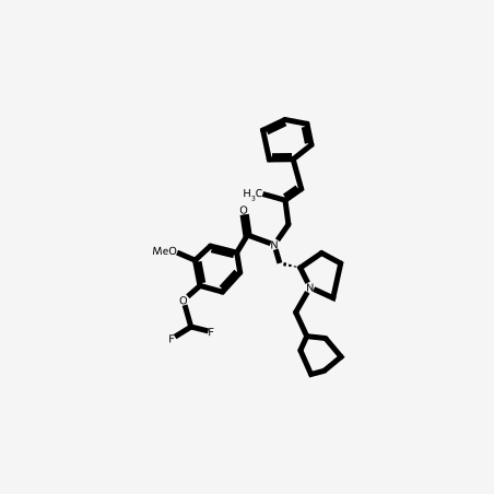 COc1cc(C(=O)N(C/C(C)=C/c2ccccc2)C[C@@H]2CCCN2CC2CCCCC2)ccc1OC(F)F